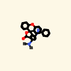 CCN(CC)c1ccc(Nc2ccccc2)c2c1C(=O)OC21c2ccccc2Oc2ccccc21